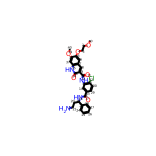 COCCOc1cc2cc(C(=O)Nc3cc(C(=O)NC(CCN)c4ccccc4)ccc3Cl)c(=O)[nH]c2cc1OC